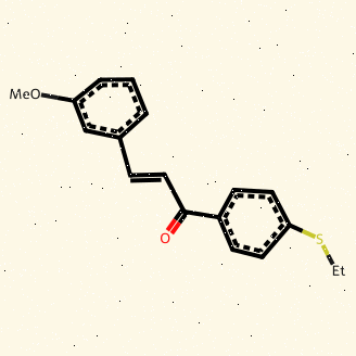 CCSc1ccc(C(=O)C=Cc2cccc(OC)c2)cc1